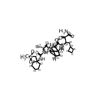 CC(C)(C)[C@H](NC(=O)NC1(CS(C)(=O)=O)CCCCC1)C(=O)N1C[C@H]2C[C@@H]([C@H]1C(=O)NC(CC1CCC1)C(=O)C(N)=O)C2(C)C